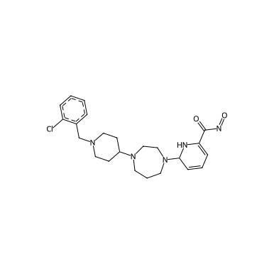 O=NC(=O)C1=CC=CC(N2CCCN(C3CCN(Cc4ccccc4Cl)CC3)CC2)N1